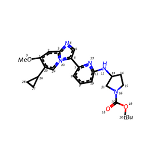 COc1cc2ncc(-c3cccc(NC4CCN(C(=O)OC(C)(C)C)C4)n3)n2cc1C1CC1